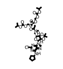 CC(C)OC(=O)OCOP(=O)(CC(=O)N(C)C[C@H]1O[C@@H](n2cnc3c(NC4CCCC4)nc(Cl)nc32)[C@@H]2OC(C)(C)O[C@@H]21)OCOC(=O)OC(C)C